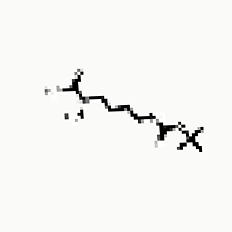 BC(=O)[C@@H](N)CCCCNC(=O)OC(C)(C)C